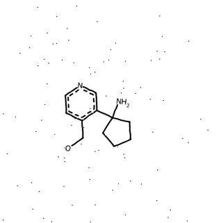 NC1(c2cnccc2C[O])CCCC1